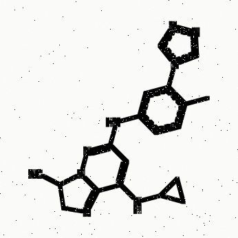 Cc1ccc(NC2=NN3C(=NCC3C#N)C(NC3CC3)=C2)cc1-n1cnnc1